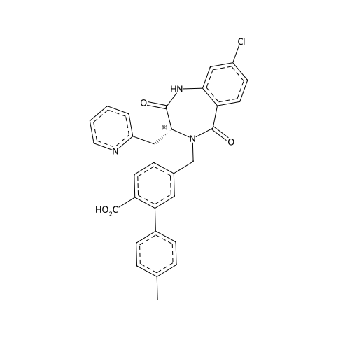 Cc1ccc(-c2cc(CN3C(=O)c4ccc(Cl)cc4NC(=O)[C@H]3Cc3ccccn3)ccc2C(=O)O)cc1